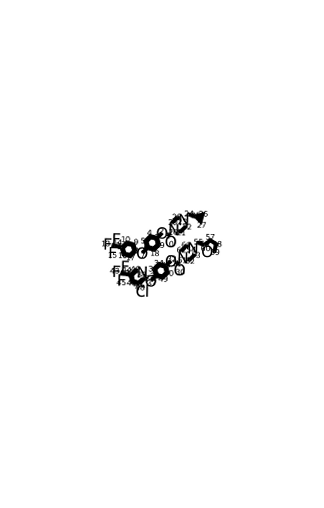 O=C(Oc1ccc(Oc2ccc(C(F)(F)F)cc2)cc1)N1CCN(CC2CC2)CC1.O=C(Oc1ccc(Oc2ncc(C(F)(F)F)cc2Cl)cc1)N1CCN(CC2CCCO2)CC1